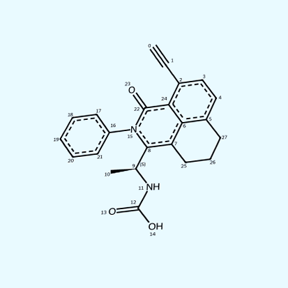 C#Cc1ccc2c3c(c([C@H](C)NC(=O)O)n(-c4ccccc4)c(=O)c13)CCC2